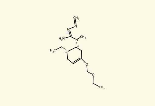 C=N/N=C(/N)N(C)[C@@H]1CC(OCOCC)=CC[C@@H]1CC